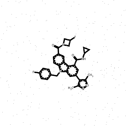 Cc1noc(C)c1-c1cc(C(=O)NC2CC2)c2c3cc(C(=O)N4CC(F)C4)ccc3n(Cc3ccc(F)cc3)c2c1